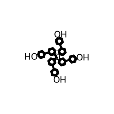 Oc1ccc(-c2cccc([Si](c3cccc(-c4ccc(O)cc4)c3)(c3cccc(-c4ccc(O)cc4)c3)c3cccc(-c4ccc(O)cc4)c3)c2)cc1